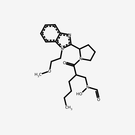 CCCCC(CN(O)C=O)C(=O)N1CCCC1c1nc2ccccc2n1CCOC